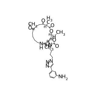 CC[C@H]1OC(=O)[C@H](C)C(=O)CC[C@H](OC)CCCCN[C@H](C)[C@@H]2[C@@H]1OC(=O)N2CCCCn1cc(-c2cccc(N)c2)nn1